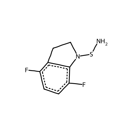 NSN1CCc2c(F)ccc(F)c21